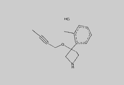 CC#CCOC1(c2ccccc2C)CNC1.Cl